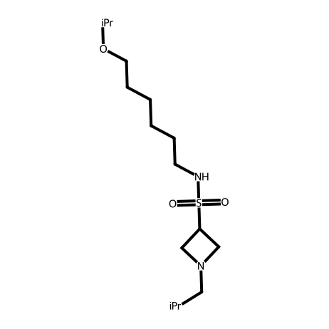 CC(C)CN1CC(S(=O)(=O)NCCCCCCOC(C)C)C1